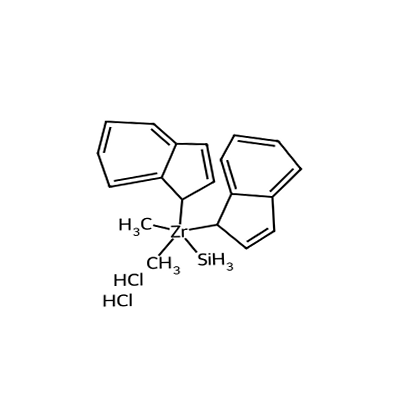 Cl.Cl.[CH3][Zr]([CH3])([SiH3])([CH]1C=Cc2ccccc21)[CH]1C=Cc2ccccc21